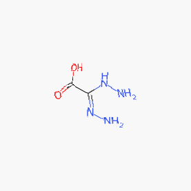 N/N=C(\NN)C(=O)O